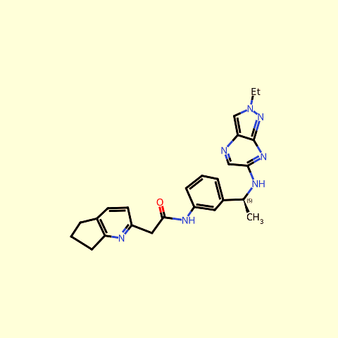 CCn1cc2ncc(N[C@@H](C)c3cccc(NC(=O)Cc4ccc5c(n4)CCC5)c3)nc2n1